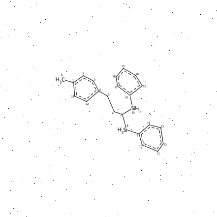 Cc1ccc(CCC([SiH2]c2ccccc2)[SiH2]c2ccccc2)cc1